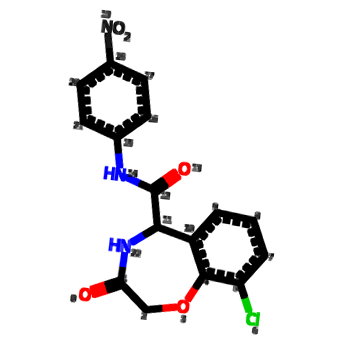 O=C1COc2c(Cl)cccc2C(C(=O)Nc2ccc([N+](=O)[O-])cc2)N1